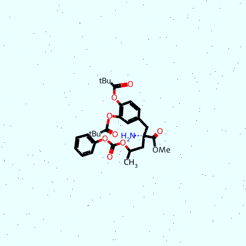 COC(=O)[C@](N)(Cc1ccc(OC(=O)C(C)(C)C)c(OC(=O)C(C)(C)C)c1)CC(C)OC(=O)Oc1ccccc1